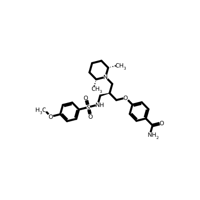 COc1ccc(S(=O)(=O)NC[C@H](COc2ccc(C(N)=O)cc2)CN2[C@H](C)CCC[C@@H]2C)cc1